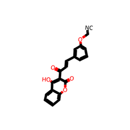 [C-]#[N+]COc1cccc(/C=C/C(=O)c2c(O)c3ccccc3oc2=O)c1